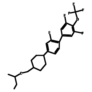 CCC(C)CCC1CCC(c2ccc(-c3cc(F)c(OC(F)(F)F)c(F)c3)c(F)c2)CC1